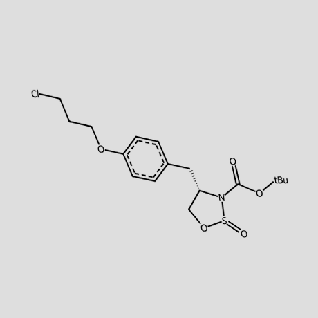 CC(C)(C)OC(=O)N1[C@@H](Cc2ccc(OCCCCl)cc2)COS1=O